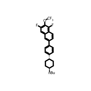 CCCC[C@H]1CC[C@H](c2ccc(-c3ccc4c(F)c(OC(F)(F)F)c(F)cc4c3)cc2)CC1